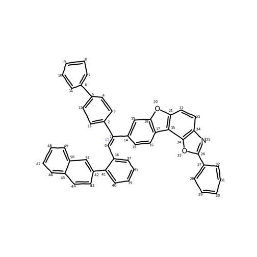 C(=C(\c1ccc(-c2ccccc2)cc1)c1ccc2c(c1)oc1ccc3nc(-c4ccccc4)oc3c12)/c1ccccc1-c1ccc2ccccc2c1